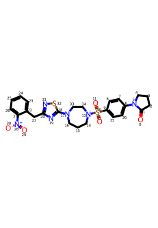 O=C1CCCN1c1ccc(S(=O)(=O)N2CCCN(c3nc(Cc4ccccc4[N+](=O)[O-])ns3)CC2)cc1